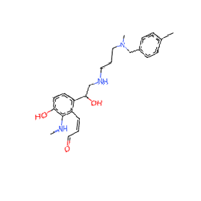 CNc1c(O)ccc(C(O)CNCCCN(C)Cc2ccc(C)cc2)c1/C=C\C=O